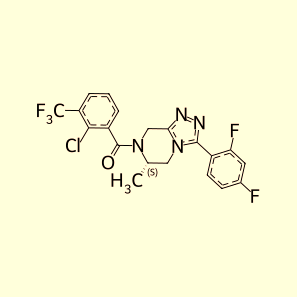 C[C@H]1Cn2c(nnc2-c2ccc(F)cc2F)CN1C(=O)c1cccc(C(F)(F)F)c1Cl